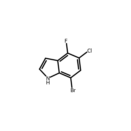 Fc1c(Cl)cc(Br)c2[nH]ccc12